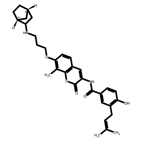 CC(C)=CCc1cc(C(=O)Nc2cc3ccc(OCCCNC4C[C@H]5CC[C@@H]4C5)c(C)c3oc2=O)ccc1O